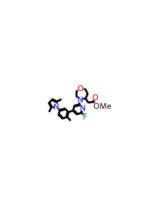 COC(=O)CC1CCOCCN1c1cc(-c2cc(-n3c(C)ccc3C)ccc2C)cc(F)n1